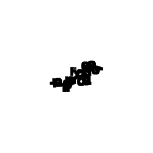 CCOC(=O)c1cn(C2CC2)c2c(OC)c(-c3cc4n(c3)CC(COC(C)(C)C)N(C)C4)c(F)cc2c1=O